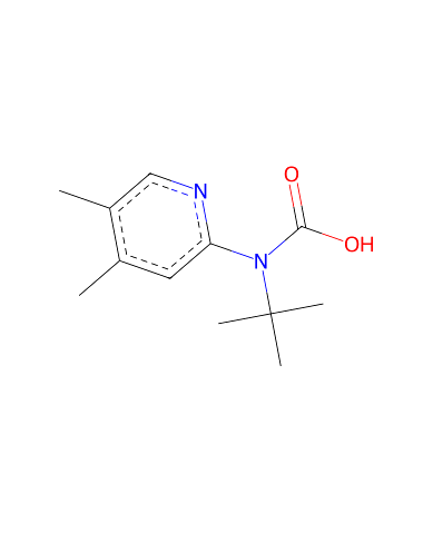 Cc1cnc(N(C(=O)O)C(C)(C)C)cc1C